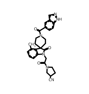 Cc1cccc2c1C1(CCN(C(=O)c3ccc4[nH]ncc4c3)CC1)C(=O)N2CC(=O)N1CCC(C#N)C1